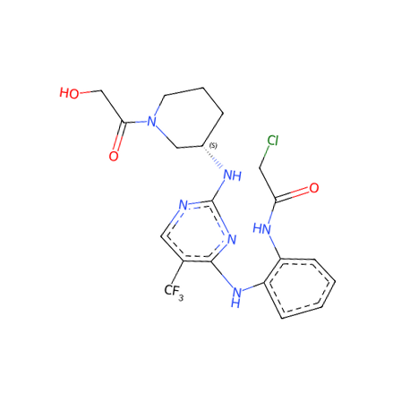 O=C(CCl)Nc1ccccc1Nc1nc(N[C@H]2CCCN(C(=O)CO)C2)ncc1C(F)(F)F